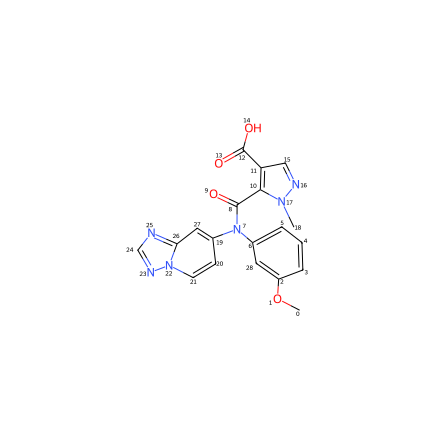 COc1cccc(N(C(=O)c2c(C(=O)O)cnn2C)c2ccn3ncnc3c2)c1